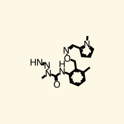 Cc1cccc(NC(=O)N(C)N=N)c1CO/N=C\c1cccn1C